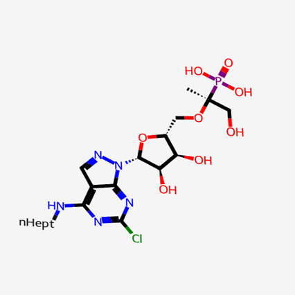 CCCCCCCNc1nc(Cl)nc2c1cnn2[C@@H]1O[C@H](CO[C@](C)(CO)P(=O)(O)O)[C@@H](O)[C@H]1O